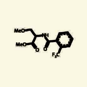 COCC(NC(=O)c1ccccc1C(F)(F)F)C(=O)OC